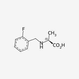 C[C@H](NCc1ccccc1F)C(=O)O